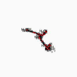 Cc1ncsc1-c1ccc(CNC(=O)[C@@H]2C[C@@H](OC(=O)CCCCCCCCCCCCCO[Si](C)(C)C(C)(C)C)CN2C(=O)[C@@H](NC(=O)COCCOCCOCCNC(=O)C[C@@H]2N=C(c3ccc(Cl)cc3)c3c(sc(C)c3C)-n3c(C)nnc32)C(C)(C)C)cc1